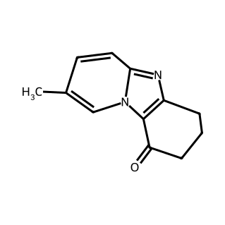 Cc1ccc2nc3c(n2c1)C(=O)CCC3